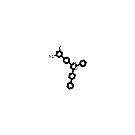 N#Cc1cc(Cl)cc(-c2ccc(-c3cc(-c4ccc(-c5ccccc5)cc4)nc(-c4ccccc4)n3)cc2)c1